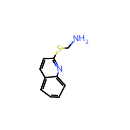 NCSc1ccc2ccccc2n1